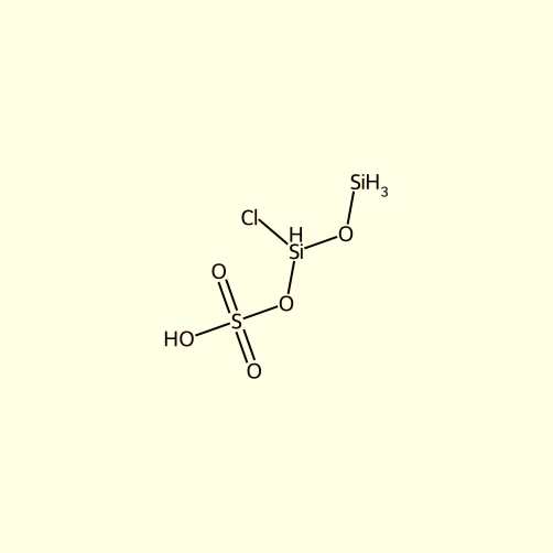 O=S(=O)(O)O[SiH](Cl)O[SiH3]